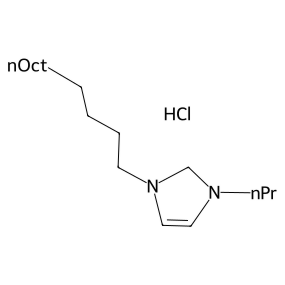 CCCCCCCCCCCCN1C=CN(CCC)C1.Cl